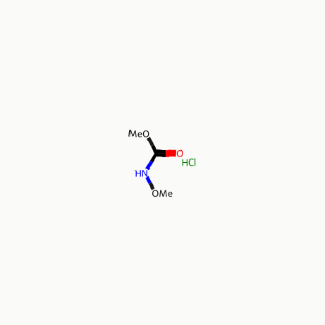 CONC(=O)OC.Cl